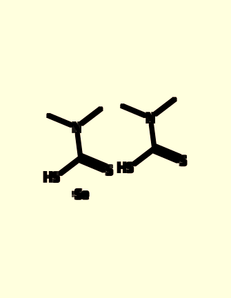 CN(C)C(=S)S.CN(C)C(=S)S.[Se]